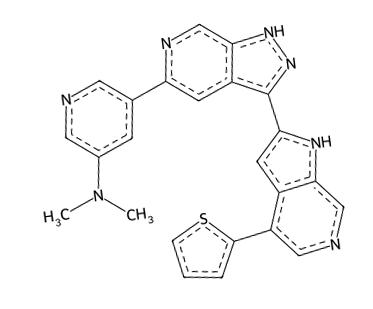 CN(C)c1cncc(-c2cc3c(-c4cc5c(-c6cccs6)cncc5[nH]4)n[nH]c3cn2)c1